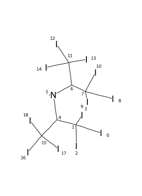 IC(I)(I)C([N]C(C(I)(I)I)C(I)(I)I)C(I)(I)I